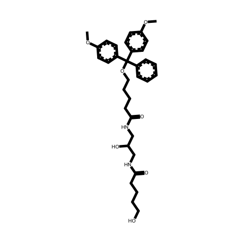 COc1ccc(C(OCCCCC(=O)NCC(O)CNC(=O)CCCCO)(c2ccccc2)c2ccc(OC)cc2)cc1